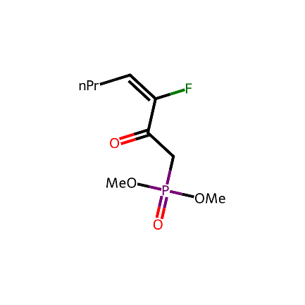 CCC/C=C(/F)C(=O)CP(=O)(OC)OC